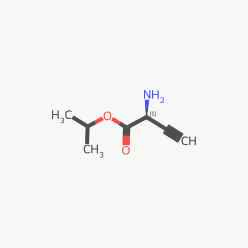 C#C[C@H](N)C(=O)OC(C)C